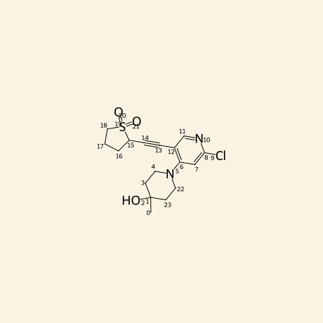 CC1(O)CCN(c2cc(Cl)ncc2C#CC2CCCS2(=O)=O)CC1